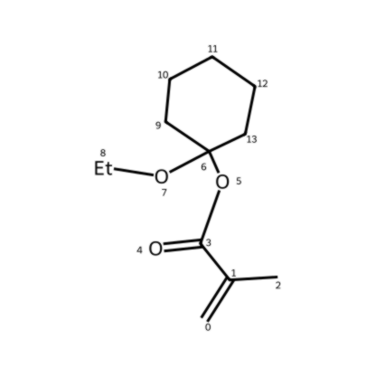 C=C(C)C(=O)OC1(OCC)CCCCC1